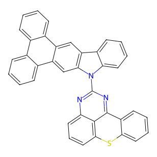 c1ccc2c(c1)Sc1cccc3nc(-n4c5ccccc5c5cc6c7ccccc7c7ccccc7c6cc54)nc-2c13